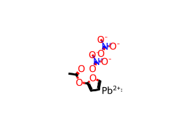 CC(=O)Oc1ccco1.O=[N+]([O-])[O-].O=[N+]([O-])[O-].[Pb+2]